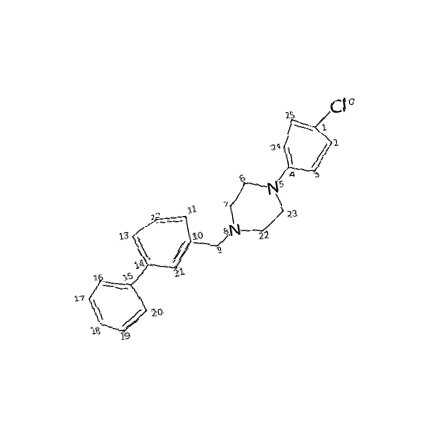 Clc1ccc(N2CCN(Cc3cccc(-c4ccccc4)c3)CC2)cc1